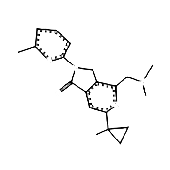 Cc1cccc(N2Cc3c(cc(C4(C)CC4)nc3CN(C)C)C2=O)n1